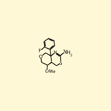 COC1COCC2(c3ccccc3F)N=C(N)SCC12